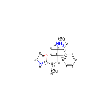 CC(C)(C)CC(c1ccccc1)C(C)(N)C(C)(C)C[C@@H](C1=NCCO1)C(C)(C)C